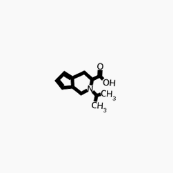 CC(C)N1CC2C=CC=C2CC1C(=O)O